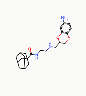 Nc1ccc2c(c1)OC(CNCCNC(=O)C13CC4CC(CC(C4)C1)C3)CO2